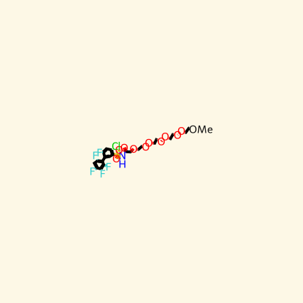 COCCOOCCOOCCOOCCOCC(=O)NS(=O)(=O)c1cc(-c2c(F)cc(F)c(F)c2F)c(F)cc1Cl